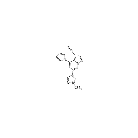 Cn1cc(-c2cc(-n3cccc3)c3c(C#N)cnn3c2)cn1